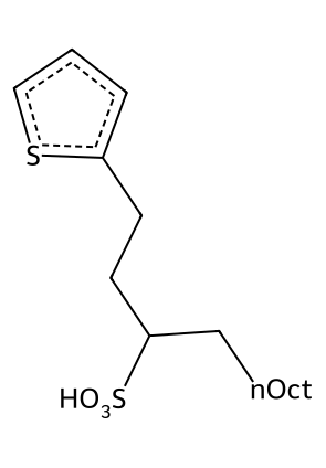 CCCCCCCCCC(CCc1cccs1)S(=O)(=O)O